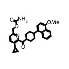 COc1ccc(C2CCC(C(=O)c3nc(COC(N)=O)ccc3C3CC3)CC2)c2ccccc12